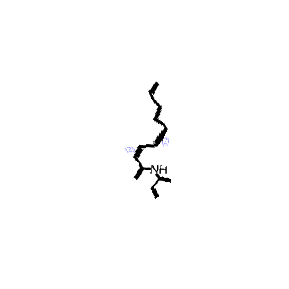 C=CCC/C=C\C=C/C(=C)NC(=C)C=C